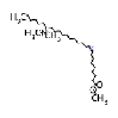 CCCCCCC(CCCCCCCCCC/C=C\CCCCCCCC(=O)OCC)N(C)C